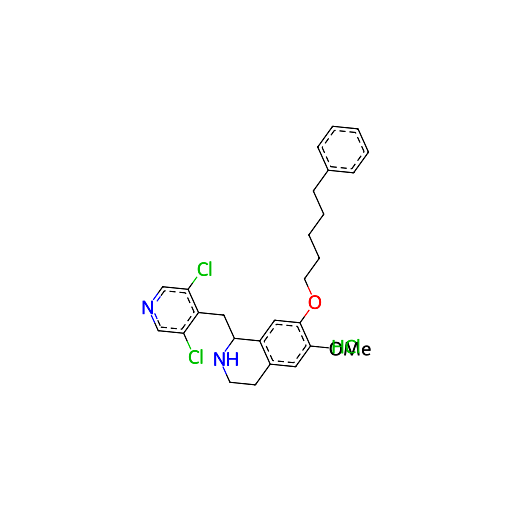 COc1cc2c(cc1OCCCCCc1ccccc1)C(Cc1c(Cl)cncc1Cl)NCC2.Cl